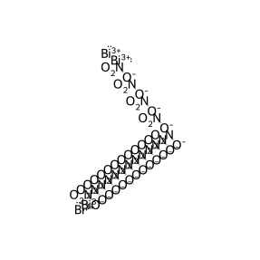 O=[N+]([O-])[O-].O=[N+]([O-])[O-].O=[N+]([O-])[O-].O=[N+]([O-])[O-].O=[N+]([O-])[O-].O=[N+]([O-])[O-].O=[N+]([O-])[O-].O=[N+]([O-])[O-].O=[N+]([O-])[O-].O=[N+]([O-])[O-].O=[N+]([O-])[O-].O=[N+]([O-])[O-].O=[N+]([O-])[O-].O=[N+]([O-])[O-].O=[N+]([O-])[O-].O=[N+]([O-])[O-].O=[N+]([O-])[O-].[Bi+3].[Bi+3].[Bi+3].[Bi+3]